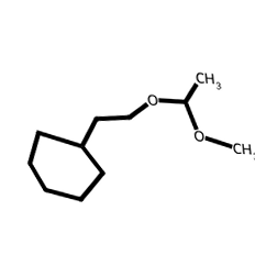 COC(C)OCCC1CCCCC1